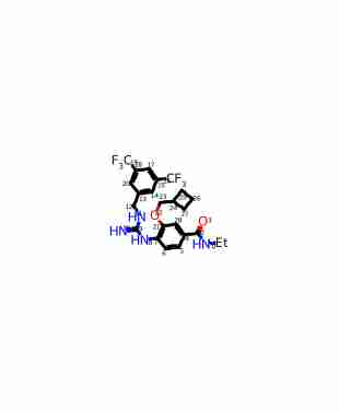 CCNC(=O)c1ccc(NC(=N)NCc2cc(C(F)(F)F)cc(C(F)(F)F)c2)c(OCC2CCC2)c1